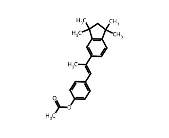 CC(=O)Oc1ccc(C=C(C)c2ccc3c(c2)C(C)(C)CC3(C)C)cc1